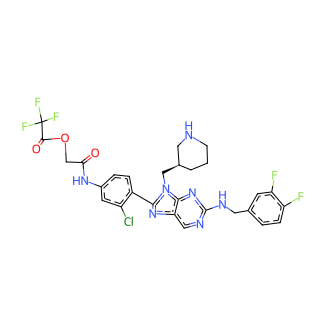 O=C(COC(=O)C(F)(F)F)Nc1ccc(-c2nc3cnc(NCc4ccc(F)c(F)c4)nc3n2C[C@@H]2CCCNC2)c(Cl)c1